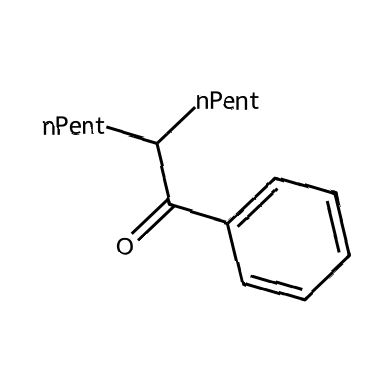 CCCCCC(CCCCC)C(=O)c1ccccc1